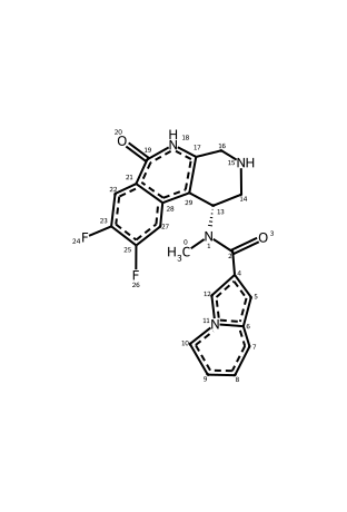 CN(C(=O)c1cc2ccccn2c1)[C@H]1CNCc2[nH]c(=O)c3cc(F)c(F)cc3c21